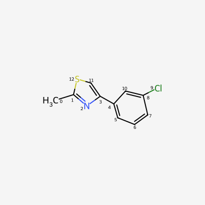 Cc1nc(-c2cccc(Cl)c2)cs1